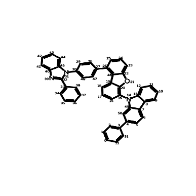 c1ccc(-c2ccc3c4ccccc4n(-c4cccc5c4oc4cccc(-c6ccc(-n7c(-c8ccccc8)nc8ccccc87)cc6)c45)c3c2)cc1